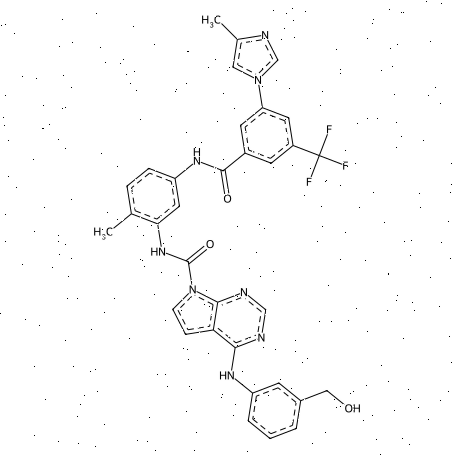 Cc1cn(-c2cc(C(=O)Nc3ccc(C)c(NC(=O)n4ccc5c(Nc6cccc(CO)c6)ncnc54)c3)cc(C(F)(F)F)c2)cn1